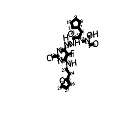 O=CN(O)C[C@@H](CC1CCCC1)C(=O)NNc1nc(Cl)nc(NCCc2ccco2)c1F